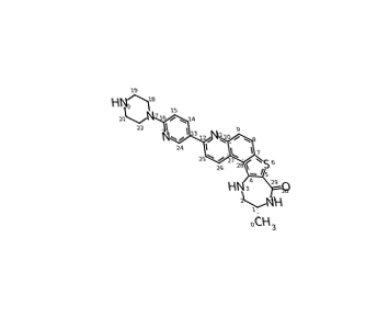 C[C@@H]1CNc2c(sc3ccc4nc(-c5ccc(N6CCNCC6)nc5)ccc4c23)C(=O)N1